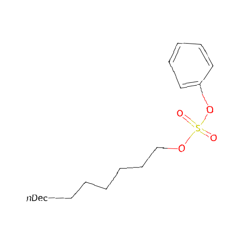 CCCCCCCCCCCCCCCCOS(=O)(=O)Oc1ccccc1